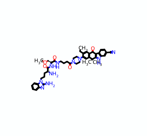 CCc1cc2c(cc1N1CCN(C(=O)CCCNC(=O)[C@H](COC)NC(=O)[C@@H](N)CCCn3c(N)nc4ccccc43)CC1)C(C)(C)c1[nH]c3cc(C#N)ccc3c1C2=O